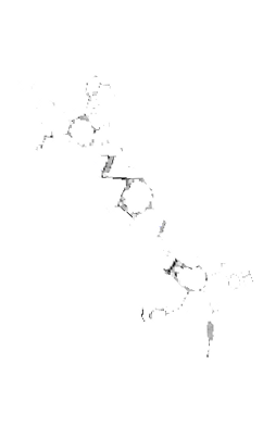 CC#COc1c(CO)cc(/C=C/c2ccc(/C=C/c3cc(OC)c(OCCC)c(OC)c3)cc2)cc1CO